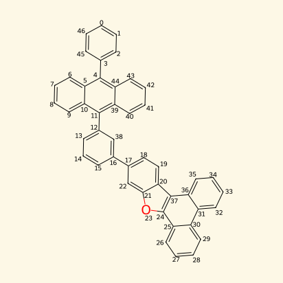 c1ccc(-c2c3ccccc3c(-c3cccc(-c4ccc5c(c4)oc4c6ccccc6c6ccccc6c54)c3)c3ccccc23)cc1